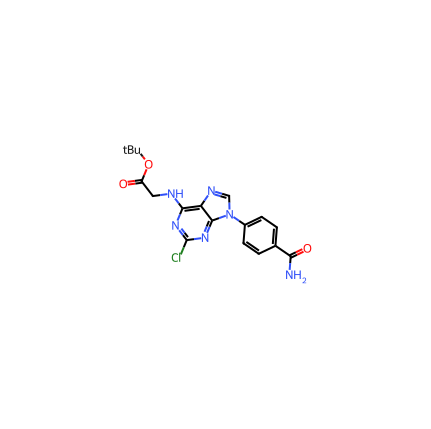 CC(C)(C)OC(=O)CNc1nc(Cl)nc2c1ncn2-c1ccc(C(N)=O)cc1